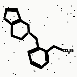 CCOC(=O)Cc1ccccc1CN1CCc2sccc2C1